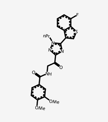 CCCn1nc(C(=O)CNC(=O)c2ccc(OC)c(OC)c2)nc1-c1csc2c(F)cccc12